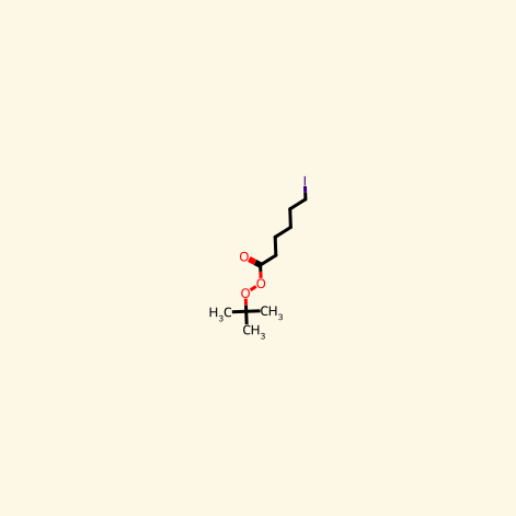 CC(C)(C)OOC(=O)CCCCCI